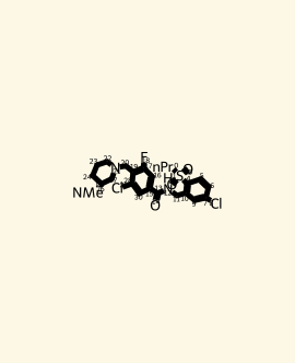 CCCS(=O)(=O)c1ccc(Cl)cc1CNC(=O)c1cc(F)c(CN2CCC[C@H](NC)C2)c(Cl)c1